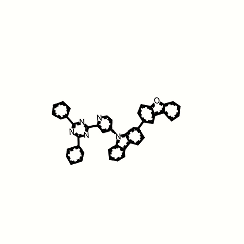 c1ccc(-c2nc(-c3ccccc3)nc(-c3cc(-n4c5ccccc5c5ccc(-c6ccc7oc8ccccc8c7c6)cc54)ccn3)n2)cc1